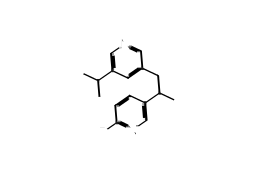 CC(C)c1cncc(CC(C)c2ccc(F)nc2)c1